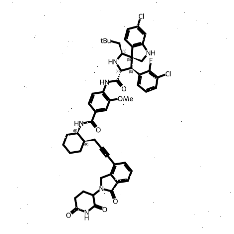 COc1cc(C(=O)N[C@@H]2CCCC[C@@H]2CC#Cc2cccc3c2CN(C2CCC(=O)NC2=O)C3=O)ccc1NC(=O)[C@@H]1N[C@@H](CC(C)(C)C)[C@@]2(CNc3cc(Cl)ccc32)[C@H]1c1cccc(Cl)c1F